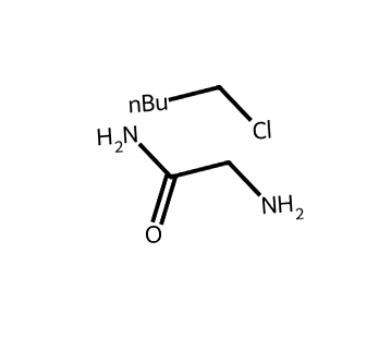 CCCCCCl.NCC(N)=O